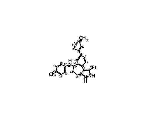 CCC1=C2c3ccc(-c4cnn(C)c4)cc3C(Nc3ccc(Cl)cc3)CCN2NN1